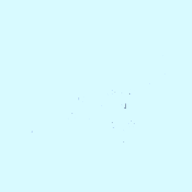 CC(=O)SC(CCC(=O)OCc1ccccc1)NC(=O)OCc1ccccc1